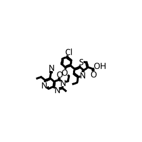 CCc1cc(-c2cc(Cl)ccc2OCCn2c(C)nc3cnc(CC)c(C#N)c3c2=O)c2scc(C(=O)O)c2n1